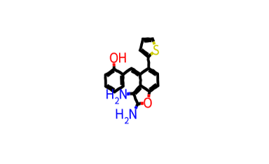 NC1=c2c(ccc(-c3cccs3)c2=Cc2ccccc2O)OC1N